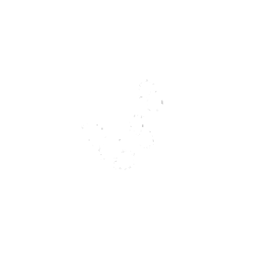 c1ccc2c(-c3ccc(-c4c5ccccc5cc5ccccc45)c4ccccc34)cccc2c1